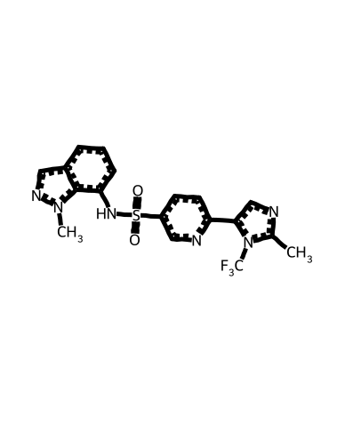 Cc1ncc(-c2ccc(S(=O)(=O)Nc3cccc4cnn(C)c34)cn2)n1C(F)(F)F